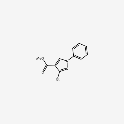 CCc1nn(-c2ccccc2)cc1C(=O)OC